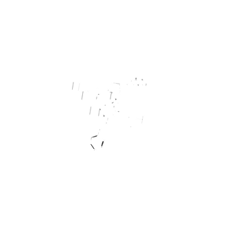 CO[C@@H]1C[C@@H](C(=O)O)N(C(=O)[C@H](C)NC(CCc2ccccc2)C(=O)O)C1